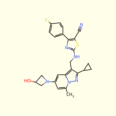 Cc1cc(N2CC(O)C2)cc2c(CNc3nc(-c4ccc(F)cc4)c(C#N)s3)c(C3CC3)nn12